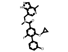 Cc1ncc(CN(C)C(=O)c2cc(F)c(-c3cccc(Cl)c3)c(OC3CC3)c2)c2[nH]ncc12